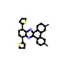 Cc1ccc2c(c1)c1cc(C)ccc1c1nc3c(-c4cccs4)ccc(-c4cccs4)c3nc21